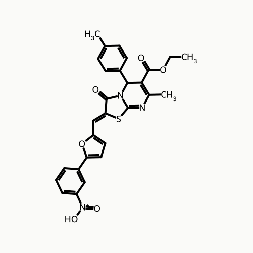 CCOC(=O)C1=C(C)N=c2s/c(=C\c3ccc(-c4cccc([N+](=O)O)c4)o3)c(=O)n2C1c1ccc(C)cc1